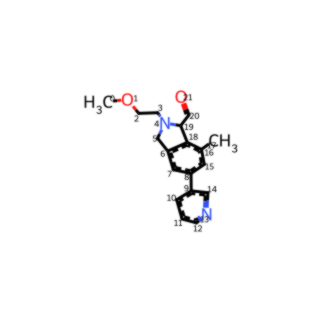 COCCN1Cc2cc(-c3cccnc3)cc(C)c2C1C=O